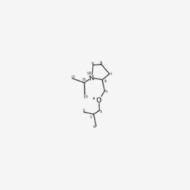 CC(C)COCC1CCCN1C(C)C